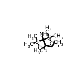 CCC(C)C(N)([Si](C)(C)C)[Si](C)(C)C